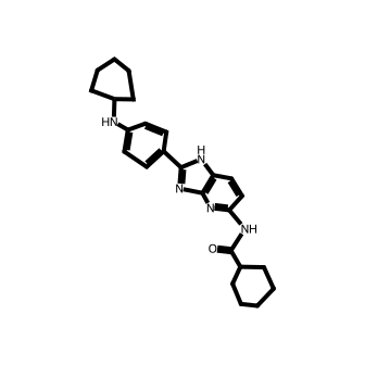 O=C(Nc1ccc2[nH]c(-c3ccc(NC4CCCCC4)cc3)nc2n1)C1CCCCC1